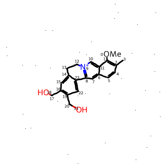 COc1c(C)ccc2cc3[n+](cc12)CCc1cc(CO)c(CO)cc1-3